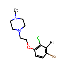 CCc1c(Br)ccc(OCCN2CCN(CC)CC2)c1Cl